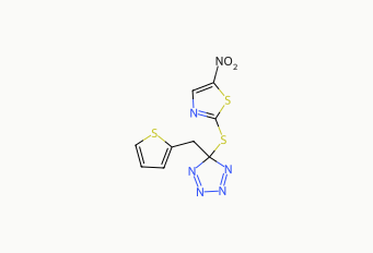 O=[N+]([O-])c1cnc(SC2(Cc3cccs3)N=NN=N2)s1